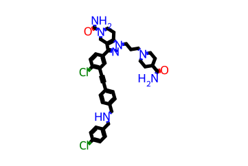 NC(=O)C1CCN(CCCn2nc(-c3ccc(Cl)c(C#Cc4ccc(CNCc5ccc(Cl)cc5)cc4)c3)c3c2CCN(C(N)=O)C3)CC1